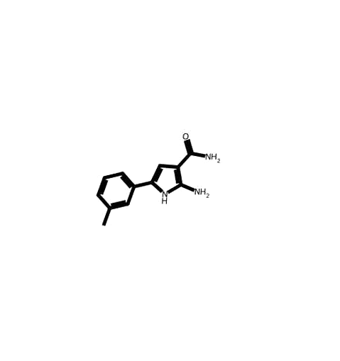 Cc1cccc(-c2cc(C(N)=O)c(N)[nH]2)c1